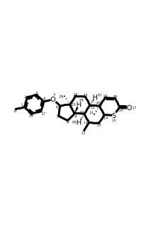 Cc1ccc(OC2CC[C@H]3[C@@H]4C(C)CC5SC(=O)C=C[C@]5(C)[C@@H]4CC[C@]23C)cc1